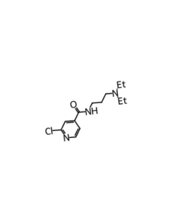 CCN(CC)CCCNC(=O)c1ccnc(Cl)c1